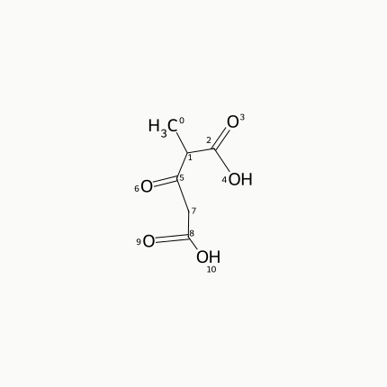 CC(C(=O)O)C(=O)CC(=O)O